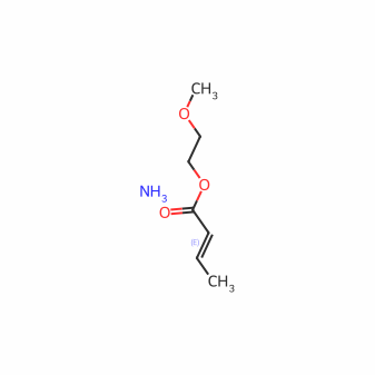 C/C=C/C(=O)OCCOC.N